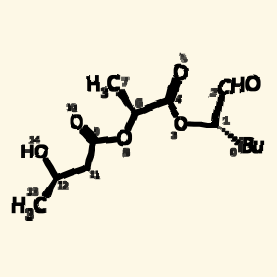 CCC(C)[C@@H](C=O)OC(=O)[C@H](C)OC(=O)C[C@@H](C)O